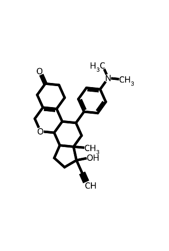 C#CC1(O)CCC2C3OCC4=C(CCC(=O)C4)C3C(c3ccc(N(C)C)cc3)CC21C